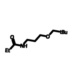 CCC(=O)NCCCOCC(C)(C)C